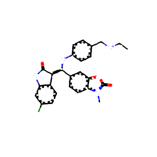 CCNCc1ccc(N/C(=C2\C(=O)Nc3cc(Cl)ccc32)c2ccc3c(c2)oc(=O)n3C)cc1